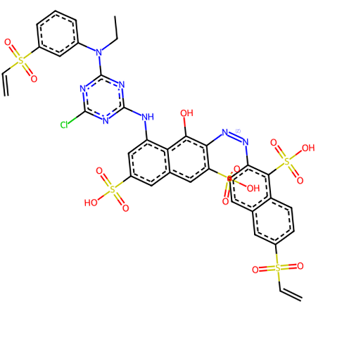 C=CS(=O)(=O)c1cccc(N(CC)c2nc(Cl)nc(Nc3cc(S(=O)(=O)O)cc4cc(S(=O)(=O)O)c(/N=N\c5ccc6cc(S(=O)(=O)C=C)ccc6c5S(=O)(=O)O)c(O)c34)n2)c1